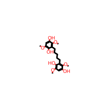 COc1cc(O)c(OC)c(CCCCCc2c(O)c(OC)cc(O)c2OC)c1O